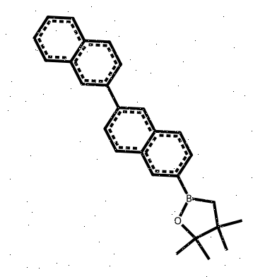 CC1(C)CB(c2ccc3cc(-c4ccc5ccccc5c4)ccc3c2)OC1(C)C